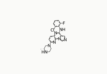 C[C@@H]1CN(c2ccc3nc(Nc4c(F)cccc4Cl)c4cncn4c3n2)CCN1